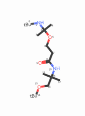 CC(C)(C)NC(C)(C)OCCC(=O)NC(C)(C)COC(C)(C)C